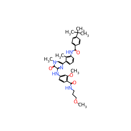 COCCCNC(=O)c1ccc(Nc2nc(-c3cccc(NC(=O)c4ccc(C(C)(C)C)cc4)c3C)cn(C)c2=O)cc1OC